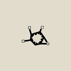 Clc1cc2c(c(Cl)c1Cl)O2